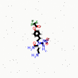 NCCC[C@H](C(N)=O)N(CCc1ccc(OC(=O)C(F)(F)F)cc1)C(N)=N[N+](=O)[O-]